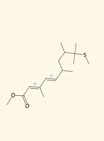 COC(=O)/C=C(C)/C=C/C(C)CC(C)C(C)(C)SC